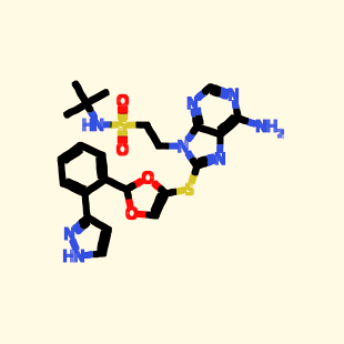 CC(C)(C)NS(=O)(=O)CCn1c(SC2=COC(c3ccccc3-c3cc[nH]n3)O2)nc2c(N)ncnc21